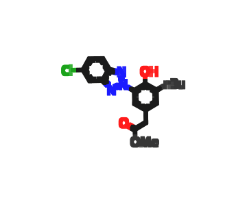 CCCCc1cc(CC(=O)OC)cc(-n2nc3ccc(Cl)cc3n2)c1O